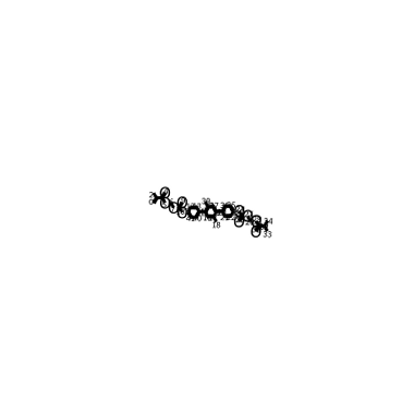 C=C(C)C(=O)OCOC(=O)Oc1ccc(-c2cc(C)c(-c3ccc(OC(=O)OCOC(=O)C(C)C)cc3)cc2C)cc1